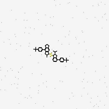 CC(C)C1Cc2c(-c3ccc(C(C)(C)C)cc3)cccc2C1S(C)(C)C1c2cc3c(c(-c4ccc(C(C)(C)C)cc4)c2CC1C)CCC3